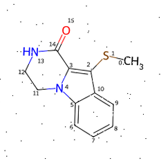 CSc1c2n(c3ccccc13)CCNC2=O